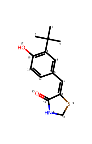 CC(C)(C)c1cc(C=C2SCNC2=O)ccc1O